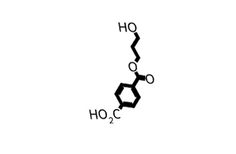 O=C(O)c1ccc(C(=O)OCCCO)cc1